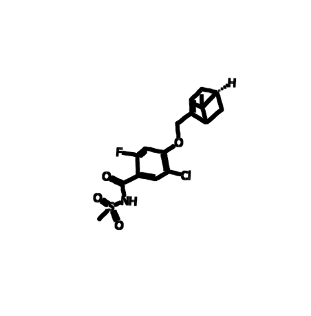 CC1(C)C2C[C@@H]1CC=C2COc1cc(F)c(C(=O)NS(C)(=O)=O)cc1Cl